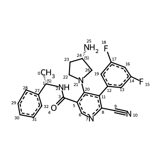 C[C@H](NC(=O)c1cnc(C#N)c(-c2cc(F)cc(F)c2)c1N1CC[C@H](N)C1)c1ccccc1